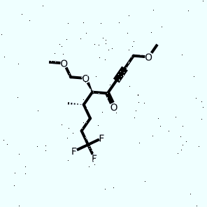 COCC#CC(=O)[C@H](OCOC)[C@@H](C)CCC(F)(F)F